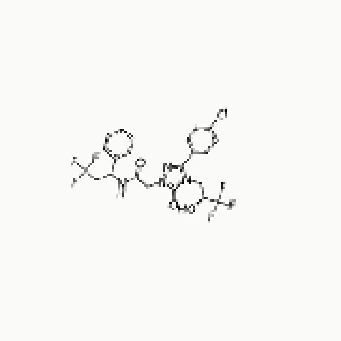 O=C(Cn1nc(-c2ccc(Cl)cc2)n(C[C@H](O)C(F)(F)F)c1=O)NC(CC(F)(F)F)c1ccccc1